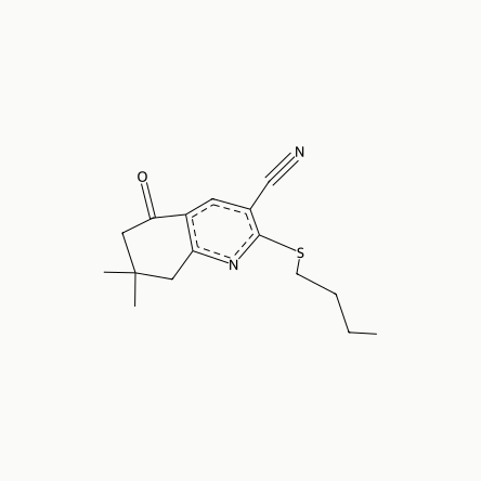 CCCCSc1nc2c(cc1C#N)C(=O)CC(C)(C)C2